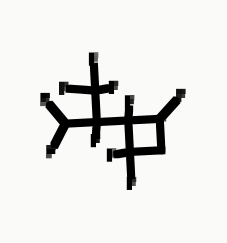 F[C](F)C(F)(C(F)(F)F)C1(F)[C](F)CC1(F)F